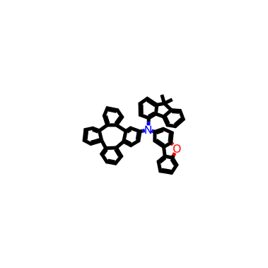 CC1(C)c2ccccc2-c2c(N(c3ccc4c(c3)-c3ccccc3-c3ccccc3-c3ccccc3-4)c3ccc4oc5ccccc5c4c3)cccc21